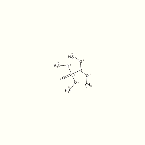 COC(OC)P(=O)(OC)OC